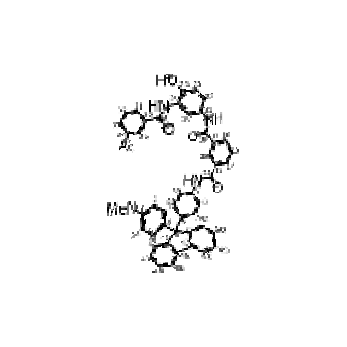 CNc1ccc(C2(c3ccc(NC(=O)c4cccc(C(=O)Nc5ccc(O)c(NC(=O)c6cccc(C(C)=O)c6)c5)c4)cc3)c3ccccc3-c3ccccc32)cc1